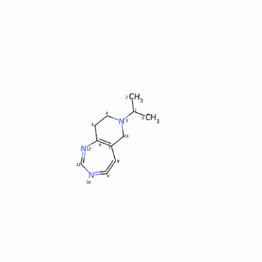 CC(C)N1CCC2=C(C=C=NC=N2)C1